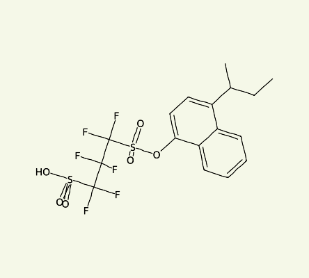 CCC(C)c1ccc(OS(=O)(=O)C(F)(F)C(F)(F)C(F)(F)S(=O)(=O)O)c2ccccc12